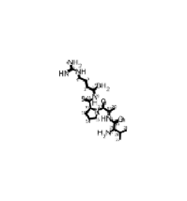 BC(CCCNC(=N)N)NC(=S)C1CCCN1C(=O)C(C)NC(=O)C(N)C(C)C